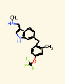 CNCc1c[nH]c2cc(Cc3ccc(OC(F)(F)F)cc3C)ccc12